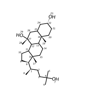 C[C@H](CCC(C)(C)O)[C@H]1CCC2C3C(CC[C@@]21C)[C@@]1(C)CC[C@@H](O)CC1C[C@@]3(C)O